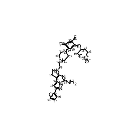 Nc1nc2c(cnn2CCN2CCN(c3cc(O[C@H]4CC[S@@+]([O-])CC4)c(F)cc3F)CC2)c2cc(-c3ccco3)nn12